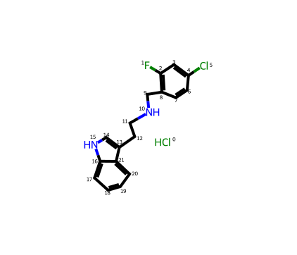 Cl.Fc1cc(Cl)ccc1CNCCc1c[nH]c2ccccc12